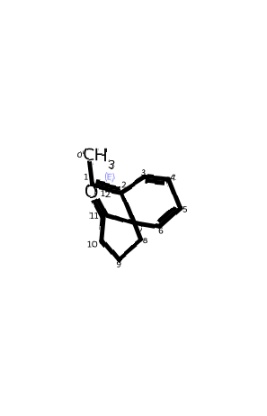 C/C=C1\C=CC=CC12CCCC2=O